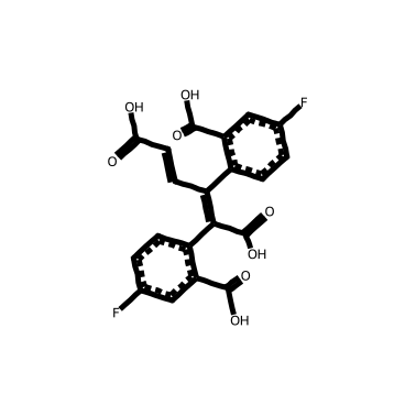 O=C(O)C=CC(=C(C(=O)O)c1ccc(F)cc1C(=O)O)c1ccc(F)cc1C(=O)O